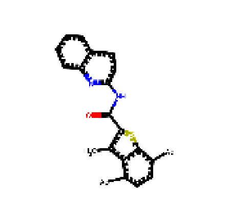 CC(=O)c1ccc(C(C)=O)c2c(C)c(C(=O)Nc3ccc4ccccc4n3)sc12